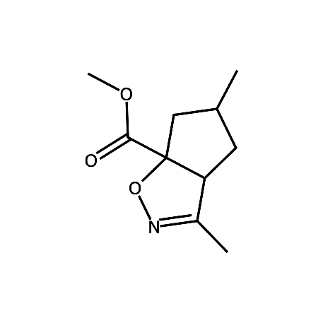 COC(=O)C12CC(C)CC1C(C)=NO2